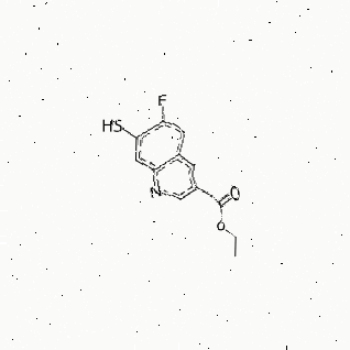 CCOC(=O)c1cnc2cc(S)c(F)cc2c1